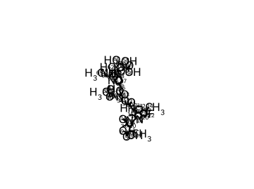 CC[C@@]1(O)C(=O)OCc2c1cc1n(c2=O)Cc2c-1nc1cc(F)c(C)c3c1c2[C@@H](NC(=O)COCN(CCS(C)(=O)=O)C(=O)OCc1ccc(O[C@@H]2OC(C(=O)O)[C@@H](O)[C@H](O)C2O)c(NC(=O)CNC)c1)CC3